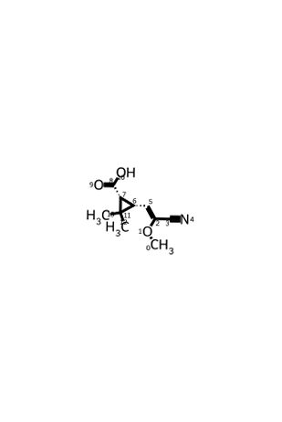 COC(C#N)=C[C@H]1[C@@H](C(=O)O)C1(C)C